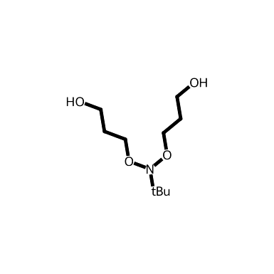 CC(C)(C)N(OCCCO)OCCCO